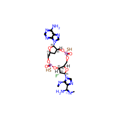 C=Nc1c(/C(N)=N\C)ncn1[C@@H]1O[C@@H]2CO[P@@](=O)(S)O[C@@H]3C[C@@H](CO[P@@](=O)(S)O[C@H]2[C@H]1F)O[C@H]3n1cnc2c(N)ncnc21